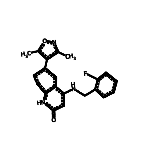 Cc1noc(C)c1-c1ccc2[nH]c(=O)cc(NCc3ccccc3F)c2c1